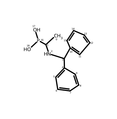 CC(NC(c1ccccc1)c1ccccc1)P(O)O